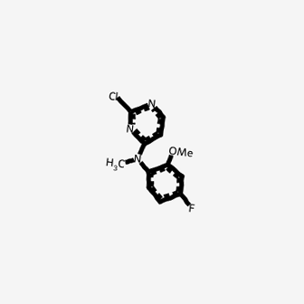 COc1cc(F)ccc1N(C)c1ccnc(Cl)n1